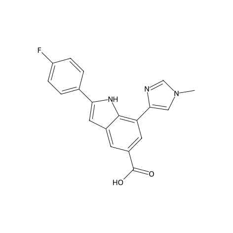 Cn1cnc(-c2cc(C(=O)O)cc3cc(-c4ccc(F)cc4)[nH]c23)c1